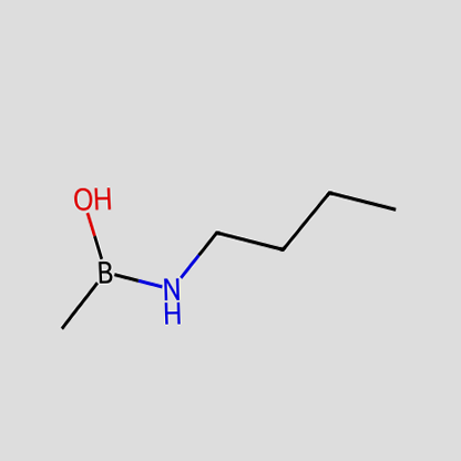 CCCCNB(C)O